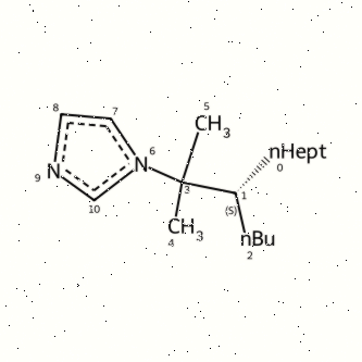 CCCCCCC[C@H](CCCC)C(C)(C)n1ccnc1